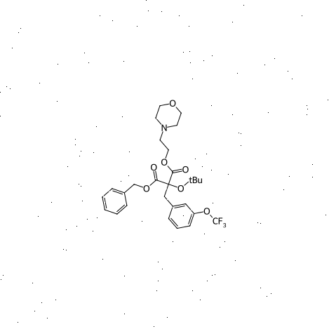 CC(C)(C)OC(Cc1cccc(OC(F)(F)F)c1)(C(=O)OCCN1CCOCC1)C(=O)OCc1ccccc1